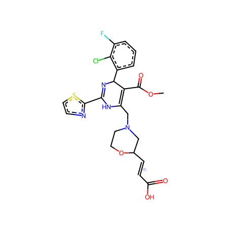 COC(=O)C1=C(CN2CCOC(/C=C/C(=O)O)C2)NC(c2nccs2)=NC1c1cccc(F)c1Cl